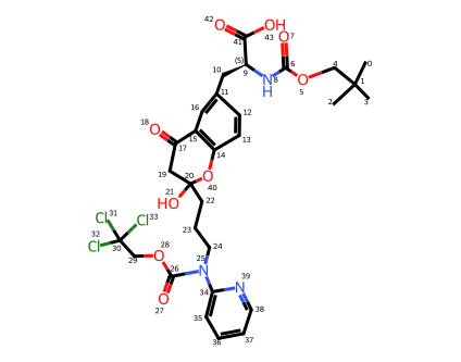 CC(C)(C)COC(=O)N[C@@H](Cc1ccc2c(c1)C(=O)CC(O)(CCCN(C(=O)OCC(Cl)(Cl)Cl)c1ccccn1)O2)C(=O)O